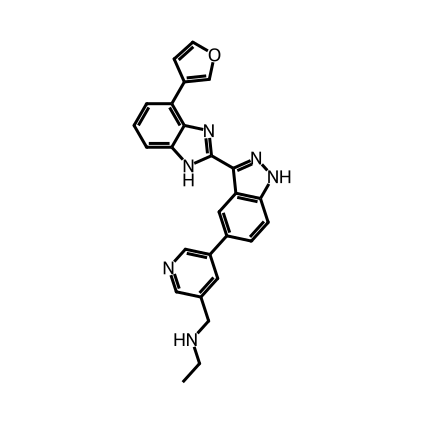 CCNCc1cncc(-c2ccc3[nH]nc(-c4nc5c(-c6ccoc6)cccc5[nH]4)c3c2)c1